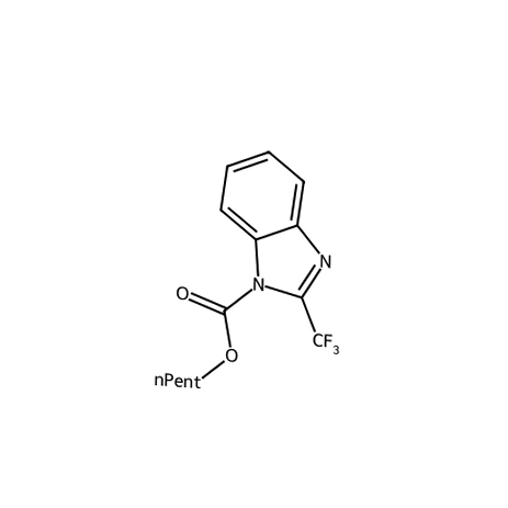 CCCCCOC(=O)n1c(C(F)(F)F)nc2ccccc21